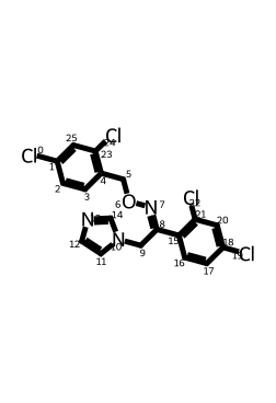 Clc1ccc(CON=C(Cn2ccnc2)c2ccc(Cl)cc2Cl)c(Cl)c1